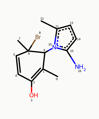 CC1=C(O)C=CC(C)(Br)C1n1c(C)ccc1N